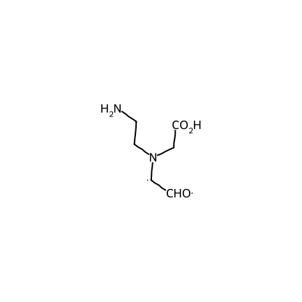 NCCN([CH][C]=O)CC(=O)O